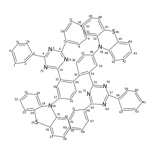 c1ccc(-c2nc(-c3ccccc3)nc(-c3cc(N4c5ccccc5Sc5ccccc54)ccc3-c3ccc(N4c5ccccc5Sc5ccccc54)cc3-c3nc(-c4ccccc4)nc(-c4ccccc4)n3)n2)cc1